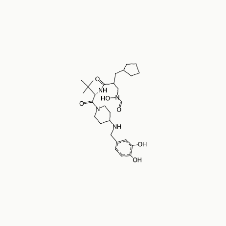 CC(C)(C)[C@H](NC(=O)C(CC1CCCC1)CN(O)C=O)C(=O)N1CCC(NCc2ccc(O)c(O)c2)CC1